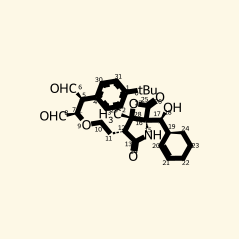 CC(C)(C)c1ccc([C@H](C=O)[C@H](C=O)OCC[C@H]2C(=O)N[C@@]3([C@@H](O)[C@@H]4C=CCCC4)C(=O)O[C@@]23C)cc1